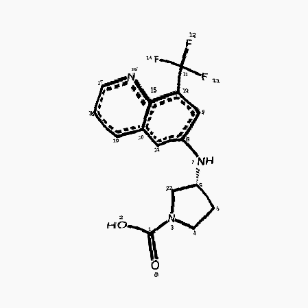 O=C(O)N1CC[C@@H](Nc2cc(C(F)(F)F)c3ncccc3c2)C1